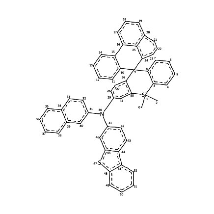 C[Si]1(C)c2ccccc2C2(c3ccccc3-c3cccc4cccc2c34)c2ccc(N(c3ccc4ccccc4c3)c3ccc4c(c3)sc3ccccc34)cc21